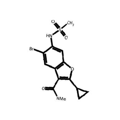 CNC(=O)c1c(C2CC2)oc2cc(NS(C)(=O)=O)c(Br)cc12